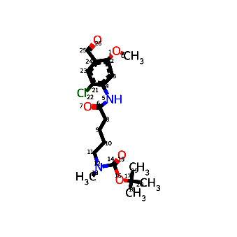 COc1cc(NC(=O)CCCCN(C)C(=O)OC(C)(C)C)c(Cl)cc1C=O